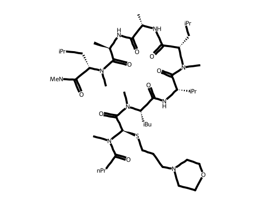 CCCC(=O)N(C)[C@H](SCCCN1CCOCC1)C(=O)N(C)[C@H](C(=O)N[C@H](C(=O)N(C)[C@@H](CC(C)C)C(=O)N[C@@H](C)C(=O)N[C@H](C)C(=O)N(C)[C@@H](CC(C)C)C(=O)NC)C(C)C)C(C)CC